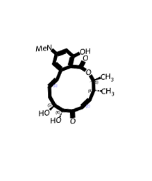 CNc1cc(O)c2c(c1)/C=C/C[C@H](O)[C@@H](O)C(=O)/C=C\[C@@H](C)[C@H](C)OC2=O